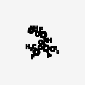 Cc1cc(F)ccc1Oc1cc(C2CC2)c(C(F)(F)F)cc1C(=O)Nc1ccc(F)c(OCC2CCCN2)c1